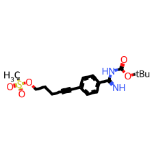 CC(C)(C)OC(=O)NC(=N)c1ccc(C#CCCCOS(C)(=O)=O)cc1